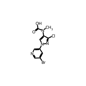 CN(C(=O)O)c1cn(-c2cncc(Br)c2)nc1Cl